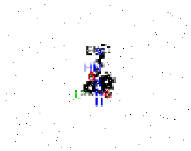 CCN(CC)CCCNCC(=O)N1c2ccc(Cl)cc2NC(=O)c2ccccc21